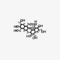 OCc1cc2c(CO)c(O)c(Cc3cc4c(CO)c(O)c(CO)cc4c(CO)c3O)cc2c(CO)c1O